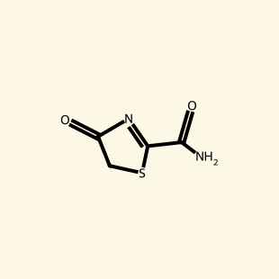 NC(=O)C1=NC(=O)CS1